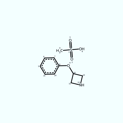 CS(=O)(=O)O.c1ccc(OC2CNC2)cc1